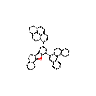 c1ccc2c(c1)ccc1c3cc(-c4ccc5ccc6cccc7ccc4c5c67)cc(-c4cc5ccccc5c5c4ccc4ccccc45)c3oc21